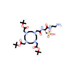 CC(C)(C)OC(=O)CN1CCN(CC(=O)N[C@@H](CS(=O)(=O)O)C(=O)NCCN)CCN(CC(=O)OC(C)(C)C)CCN(CC(=O)OC(C)(C)C)CC1